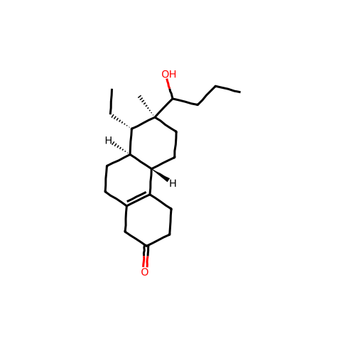 CCCC(O)[C@@]1(C)CC[C@@H]2C3=C(CC[C@H]2[C@@H]1CC)CC(=O)CC3